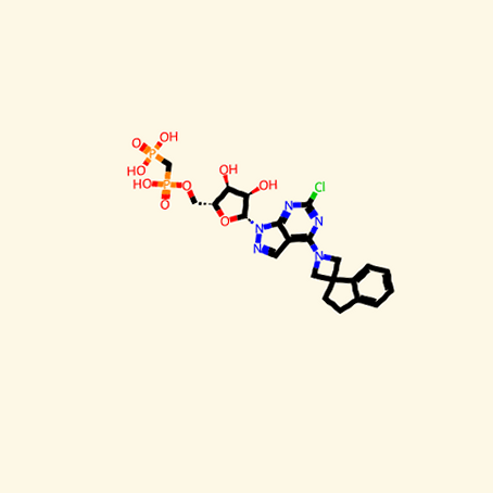 O=P(O)(O)CP(=O)(O)OC[C@H]1O[C@@H](n2ncc3c(N4CC5(CCc6ccccc65)C4)nc(Cl)nc32)[C@H](O)[C@@H]1O